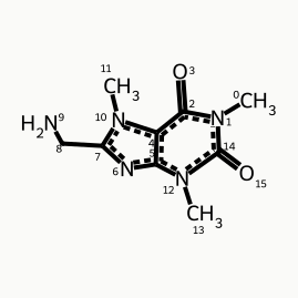 Cn1c(=O)c2c(nc(CN)n2C)n(C)c1=O